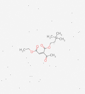 CCOC(=O)C=C(C(C)=O)C(=O)OCC[Si](C)(C)C